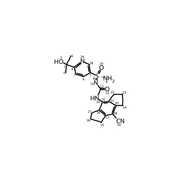 CC(C)(O)c1ccc([S@@](N)(=O)=NC(=O)Nc2c3c(c(C#N)c4c2CCC4)CCC3)cn1